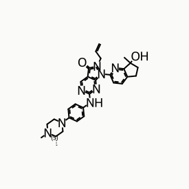 C=CCn1c(=O)c2cnc(Nc3ccc(N4CCN(C)[C@@H](C)C4)cc3)nc2n1-c1ccc2c(n1)C(C)(O)CC2